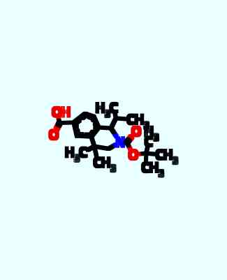 CC(C)C1c2ccc(C(=O)O)cc2C(C)(C)CN1C(=O)OC(C)(C)C